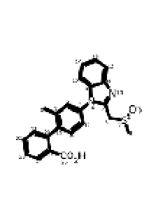 Cc1cc(-n2c(C[S+](C)[O-])nc3ccccc32)ccc1-c1ccccc1C(=O)O